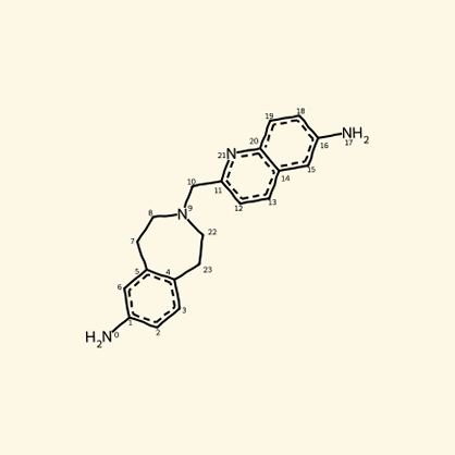 Nc1ccc2c(c1)CCN(Cc1ccc3cc(N)ccc3n1)CC2